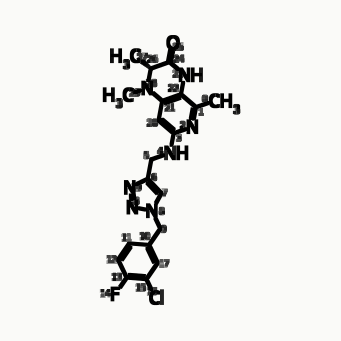 Cc1nc(NCc2cn(Cc3ccc(F)c(Cl)c3)nn2)cc2c1NC(=O)[C@H](C)N2C